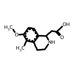 COc1ccc2c(c1C)CCNC2CC(=O)O